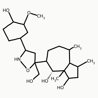 COC1CC(C2CC(CO)(C3CCC(C)C4C(C)CC(O)C4(C)[C@@H]3O)ON2)CCC1O